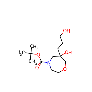 CC(C)(C)OC(=O)N1CCOCC(O)(CCCO)C1